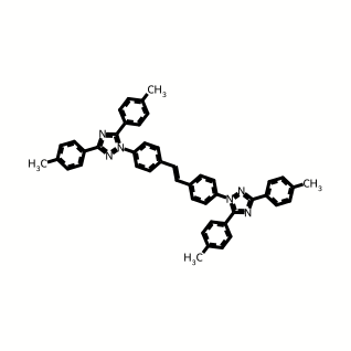 Cc1ccc(-c2nc(-c3ccc(C)cc3)n(-c3ccc(/C=C/c4ccc(-n5nc(-c6ccc(C)cc6)nc5-c5ccc(C)cc5)cc4)cc3)n2)cc1